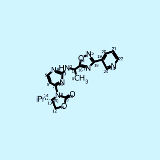 CC(Nc1nccc(N2C(=O)OC[C@@H]2C(C)C)n1)c1nc(-c2cccnc2)no1